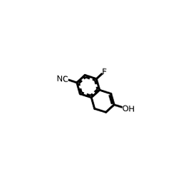 N#Cc1cc(F)c2c(c1)CCC(O)=C2